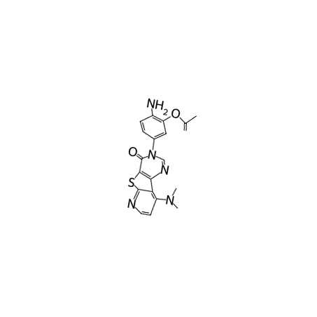 C=C(C)Oc1cc(-n2cnc3c(sc4nccc(N(C)C)c43)c2=O)ccc1N